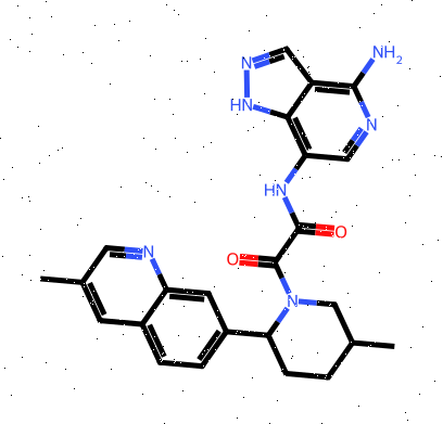 Cc1cnc2cc(C3CCC(C)CN3C(=O)C(=O)Nc3cnc(N)c4cn[nH]c34)ccc2c1